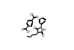 CCCCC1C(=O)NN(c2ccccc2)C1=O.O=C(Cl)c1ccc(C(=O)Cl)cc1